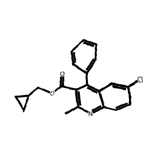 Cc1nc2ccc(Cl)cc2c(-c2ccccc2)c1C(=O)OCC1CC1